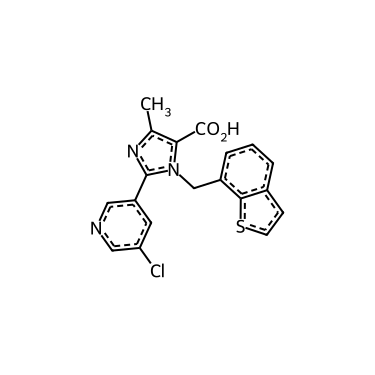 Cc1nc(-c2cncc(Cl)c2)n(Cc2cccc3ccsc23)c1C(=O)O